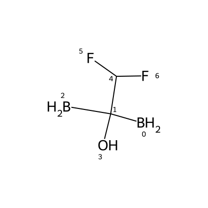 BC(B)(O)C(F)F